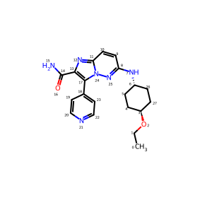 CCO[C@H]1CC[C@H](Nc2ccc3nc(C(N)=O)c(-c4ccncc4)n3n2)CC1